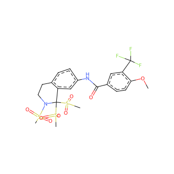 COc1ccc(C(=O)Nc2ccc3c(c2)C(S(C)(=O)=O)(S(C)(=O)=O)N(S(C)(=O)=O)CC3)cc1C(F)(F)F